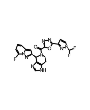 O=C(c1nnc(-c2ccn(C(F)F)n2)o1)N1CCc2[nH]cnc2C1c1cc2cccc(F)n2n1